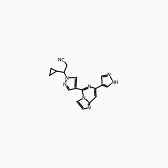 N#CCC(C1CC1)n1cc(-c2nc(-c3cn[nH]c3)cc3nccn23)cn1